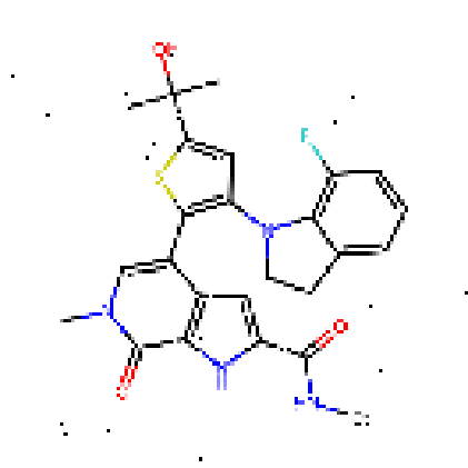 CCNC(=O)c1cc2c(-c3sc(C(C)(C)O)cc3N3CCc4cccc(F)c43)cn(C)c(=O)c2[nH]1